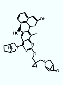 C#Cc1cccc2c1C(c1c(F)cc3c(N4CC5CCC(C4)N5)nc(OCC4(CN5CC6CC5CC6=O)CC4)nc3c1F)CC(O)=C2